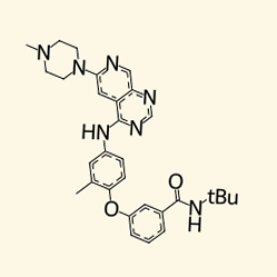 Cc1cc(Nc2ncnc3cnc(N4CCN(C)CC4)cc23)ccc1Oc1cccc(C(=O)NC(C)(C)C)c1